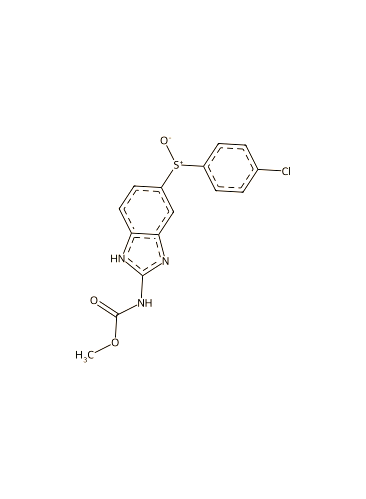 COC(=O)Nc1nc2cc([S+]([O-])c3ccc(Cl)cc3)ccc2[nH]1